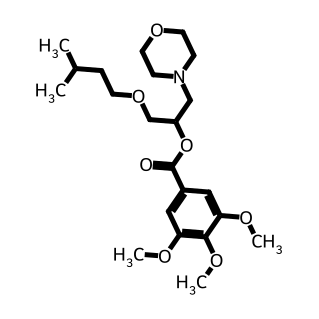 COc1cc(C(=O)OC(COCCC(C)C)CN2CCOCC2)cc(OC)c1OC